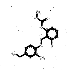 CCc1ccc(OCc2c(Br)cccc2OC(=O)OC)c(C)c1